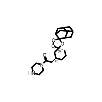 O=C(C[C@@H]1CCC[C@]2(C1)OOC1(O2)C2CC3CC(C2)CC1C3)N1CCNCC1